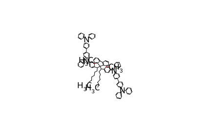 CCCCCCCC(c1ccc(N(c2ccccc2)c2ccc(-c3ccc(N(c4ccccc4)c4ccccc4)cc3)cc2)cc1)C1(C(CCCCCCC)c2ccc(N(c3ccccc3)c3ccc(-c4ccc(N(c5ccccc5)c5ccccc5)cc4)cc3)cc2)c2cc(C)ccc2-c2ccc(C)cc21